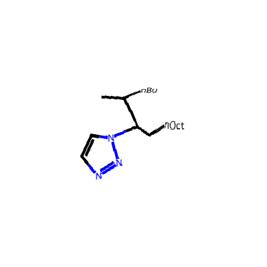 CCCCCCCCCC(C(C)CCCC)n1ccnn1